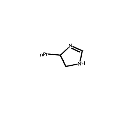 CCCC1CN[C]=N1